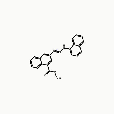 CCCCOC(=O)c1cc(/N=N/Nc2cccc3ccccc23)cc2ccccc12